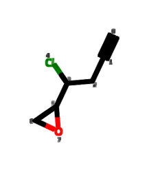 C#CCC(Cl)C1CO1